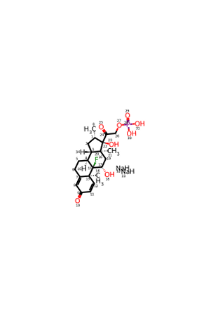 C[C@H]1C[C@H]2[C@@H]3CCC4=CC(=O)C=C[C@]4(C)[C@@]3(F)[C@@H](O)C[C@]2(C)[C@@]1(O)C(=O)COP(=O)(O)O.[NaH].[NaH]